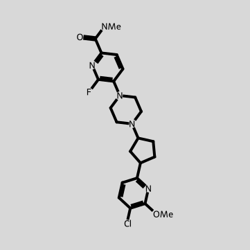 CNC(=O)c1ccc(N2CCN(C3CCC(c4ccc(Cl)c(OC)n4)C3)CC2)c(F)n1